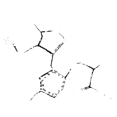 CCCCOC1C(c2cc(Br)ccc2OC(C)C(=O)OC)=NOC1C